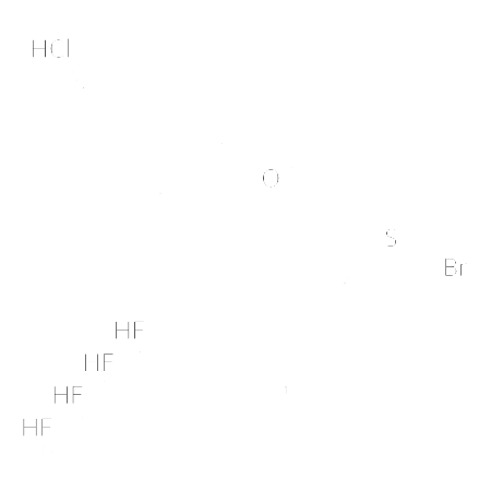 BrSc1ccccc1Oc1ccccc1.Cl.F.F.F.F